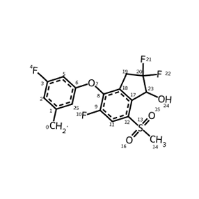 [CH2]c1cc(F)cc(Oc2c(F)cc(S(C)(=O)=O)c3c2CC(F)(F)C3O)c1